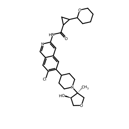 C[C@]1(N2CCC(c3cc4cc(NC(=O)C5CC5C5CCCCO5)ncc4cc3Cl)CC2)COC[C@H]1O